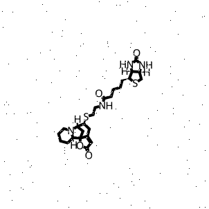 O=C(CCCC[C@@H]1SC[C@@H]2NC(=O)N[C@@H]21)NCCS[C@H]1CC2=CC(=O)OC23C[C@@H]1N1CCCC[C@@H]13